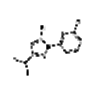 CCc1cc(C(F)F)nn1-c1[c]ccc(Cl)n1